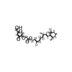 CC(C=CC1=C(C)CCCC1(C)C)=CC=CC(C)=CCOC(=O)COc1coc(CO)cc1=O